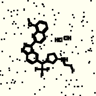 COc1cccc2ccc(-c3nnc4ccc([C@@H](N5CC[C@H](NCCF)C5)C(F)(F)F)cn34)nc12.Cl.Cl